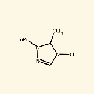 CCCN1N=CN(Cl)C1C(Cl)(Cl)Cl